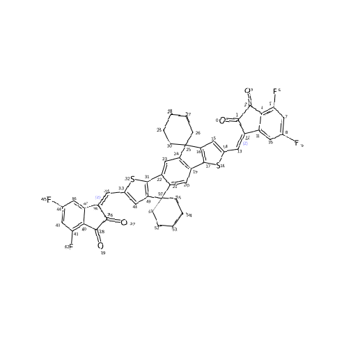 O=C1C(=O)c2c(F)cc(F)cc2/C1=C/c1cc2c(s1)-c1cc3c(cc1C21CCCCC1)-c1sc(/C=C2\C(=O)C(=O)c4c(F)cc(F)cc42)cc1C31CCCCC1